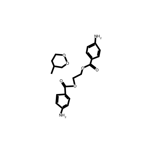 CC1CCOOC1.Nc1ccc(C(=O)OCCOC(=O)c2ccc(N)cc2)cc1